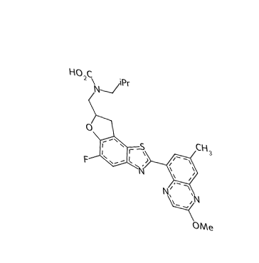 COc1cnc2c(-c3nc4cc(F)c5c(c4s3)CC(CN(CC(C)C)C(=O)O)O5)cc(C)cc2n1